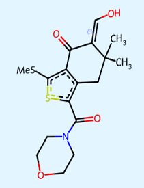 CSc1sc(C(=O)N2CCOCC2)c2c1C(=O)/C(=C/O)C(C)(C)C2